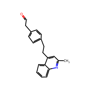 Cc1cc(CCc2ccc(C[C]=O)cc2)c2ccccc2n1